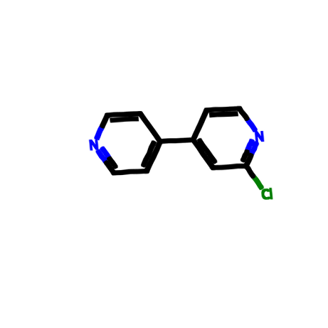 Clc1cc(-c2ccncc2)ccn1